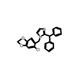 Clc1cc2c(cc1Cn1ccnc1C(c1ccccc1)c1ccccc1)OCO2